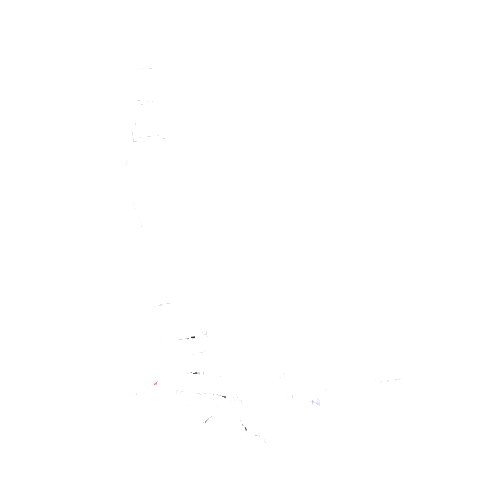 C[C@H](CCC(=O)NCCS(=O)(=O)O)[C@H]1CC[C@H]2[C@H]3C(CC[C@]12C)[C@@]1(C)CC[C@@H](OCCCCCOc2ccc4ccccc4c2)CC1C[C@@H]3O